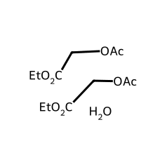 CCOC(=O)COC(C)=O.CCOC(=O)COC(C)=O.O